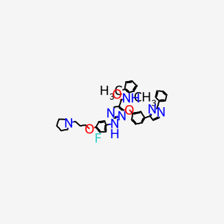 Cc1cccc(C)c1NC(=O)c1cnc(Nc2ccc(OCCCN3CCCCC3)c(F)c2)nc1Oc1cccc(-c2ccnc(-c3ccccc3)n2)c1